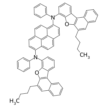 CCCCc1cc2ccccc2c2c1oc1c(N(c3ccccc3)c3ccc4ccc5c(N(c6ccccc6)c6cccc7c6oc6c(CCCC)cc8ccccc8c67)ccc6ccc3c4c65)cccc12